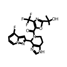 CC(C)(O)c1nc(C(F)(F)F)c(C(=O)N2CCc3[nH]cnc3C2c2cc3c(F)cccn3n2)o1